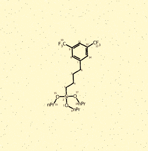 CCCO[Si](CCCCc1cc(C(F)(F)F)cc(C(F)(F)F)c1)(OCCC)OCCC